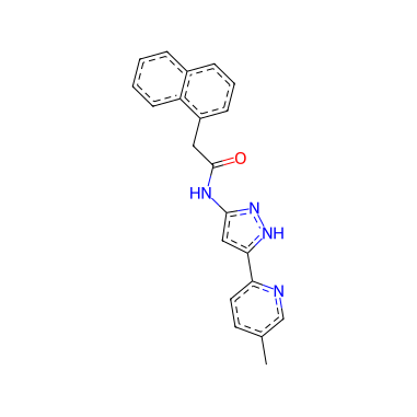 Cc1ccc(-c2cc(NC(=O)Cc3cccc4ccccc34)n[nH]2)nc1